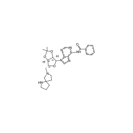 CC1(C)O[C@@H]2[C@@H](CN3CCC4(CCCN4)C3)OC(n3cnc4c(NC(=O)c5ccccc5)ncnc43)[C@@H]2O1